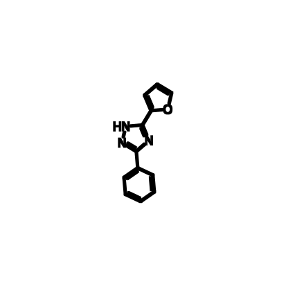 c1ccc(-c2n[nH]c(-c3ccco3)n2)cc1